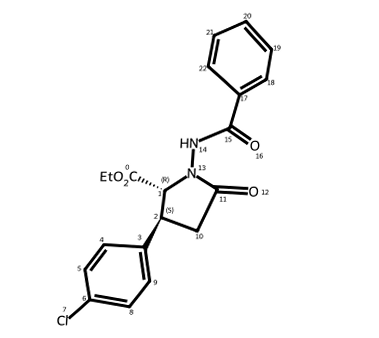 CCOC(=O)[C@H]1[C@H](c2ccc(Cl)cc2)CC(=O)N1NC(=O)c1ccccc1